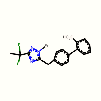 CCn1nc(C(C)(F)F)nc1Cc1ccc(-c2ccccc2C(=O)O)cc1